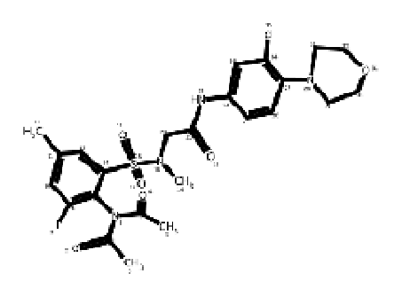 CC(=O)N(C(C)=O)c1c(I)cc(C)cc1S(=O)(=O)N(C)CC(=O)Nc1ccc(N2CCOCC2)c(Cl)c1